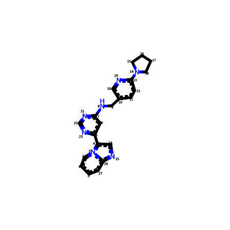 c1ccn2c(-c3cc(NCc4ccc(N5CCCC5)nc4)ncn3)cnc2c1